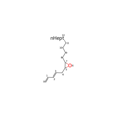 C=CC=CCC1OC1CCCCCCCCCCC